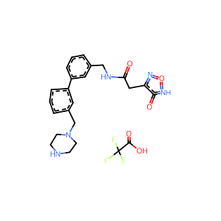 O=C(Cc1no[nH]c1=O)NCc1cccc(-c2cccc(CN3CCNCC3)c2)c1.O=C(O)C(F)(F)F